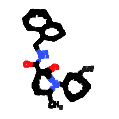 Cc1ccc(C(=O)NCc2cccc3ccccc23)c(=O)n1-c1cccc(C#N)c1